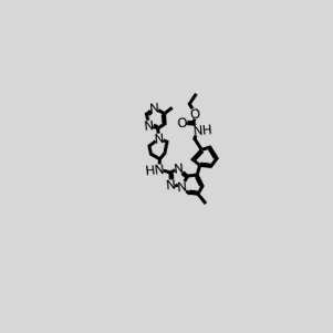 CCOC(=O)NCc1cccc(-c2cc(C)cn3nc(NC4CCN(c5cc(C)ncn5)CC4)nc23)c1